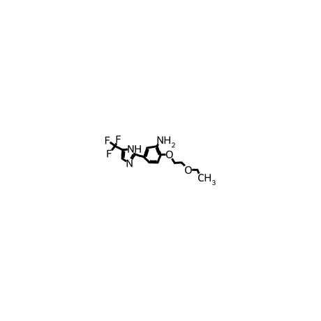 CCOCCOc1ccc(-c2ncc(C(F)(F)F)[nH]2)cc1N